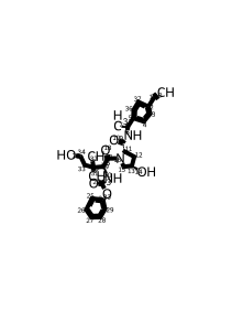 C#Cc1ccc([C@H](C)NC(=O)[C@@H]2C[C@@H](O)CN2C(=O)[C@@H](NC(=O)Oc2ccccc2)C(C)(C)CCO)cc1